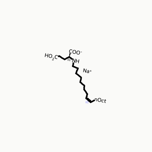 CCCCCCCC/C=C\CCCCCCCCN[C@@H](CCC(=O)O)C(=O)[O-].[Na+]